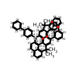 CC1(C)c2ccccc2-c2ccc(N(c3ccc(-c4ccccc4)cc3)c3ccc4cccc5c4c3-c3ccc(-c4cccc6c4oc4ccccc46)cc3C5(C)C)cc21